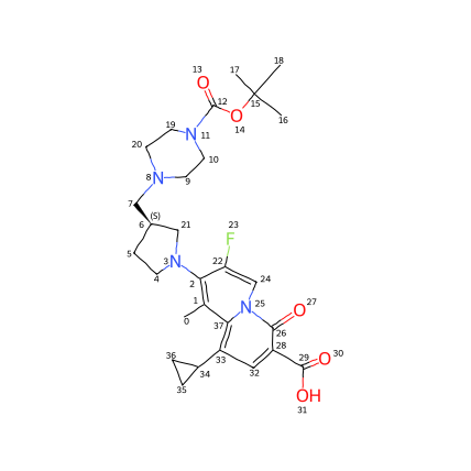 Cc1c(N2CC[C@@H](CN3CCN(C(=O)OC(C)(C)C)CC3)C2)c(F)cn2c(=O)c(C(=O)O)cc(C3CC3)c12